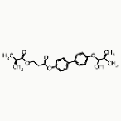 C=C(C)C(=O)OCCC(=O)Oc1ccc(-c2ccc(OC(O)C(=C)C)cc2)cc1